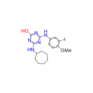 COc1ccc(Nc2nc(O)nc(NC3CCCCCC3)n2)cc1I